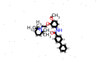 COc1ccc(NC(=O)c2ccc(-c3ccccc3)cc2)cc1OCCN1C(C)(C)CCCC1(C)C